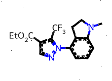 CCOC(=O)c1cnn(-c2cccc3c2CCN3C)c1C(F)(F)F